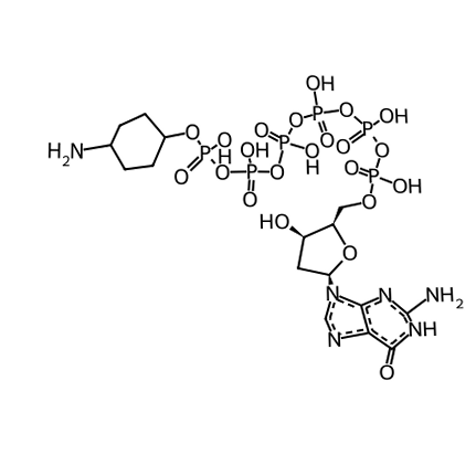 Nc1nc2c(ncn2[C@H]2C[C@@H](O)[C@@H](COP(=O)(O)OP(=O)(O)OP(=O)(O)OP(=O)(O)OP(=O)(O)OP(=O)(O)OC3CCC(N)CC3)O2)c(=O)[nH]1